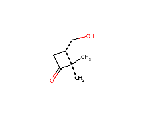 CC1(C)C(=O)CC1CO